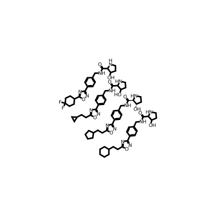 O=C(NCc1ccc(-c2noc(C3CCC(F)(F)CC3)n2)cc1)C1NCCC1O.O=C(NCc1ccc(-c2noc(CCC3CC3)n2)cc1)C1NCCC1O.O=C(NCc1ccc(-c2noc(CCC3CCCC3)n2)cc1)[C@H]1NCC[C@@H]1O.O=C(NCc1ccc(-c2noc(CCC3CCCCC3)n2)cc1)C1NCCC1O